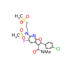 CNC(=O)c1c(-c2ccc(Cl)cc2)oc2nc(N(CCCS(C)(=O)=O)S(C)(=O)=O)c(I)cc12